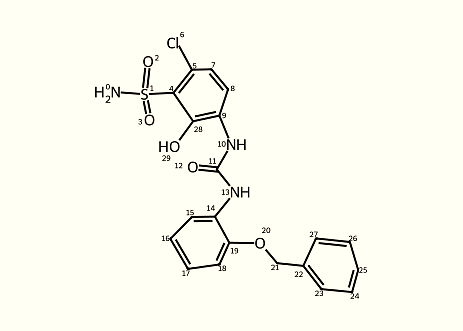 NS(=O)(=O)c1c(Cl)ccc(NC(=O)Nc2ccccc2OCc2ccccc2)c1O